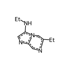 CCNc1cnc2cnc(CC)cn12